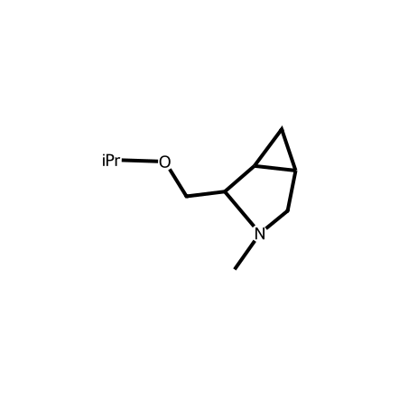 CC(C)OCC1C2CC2CN1C